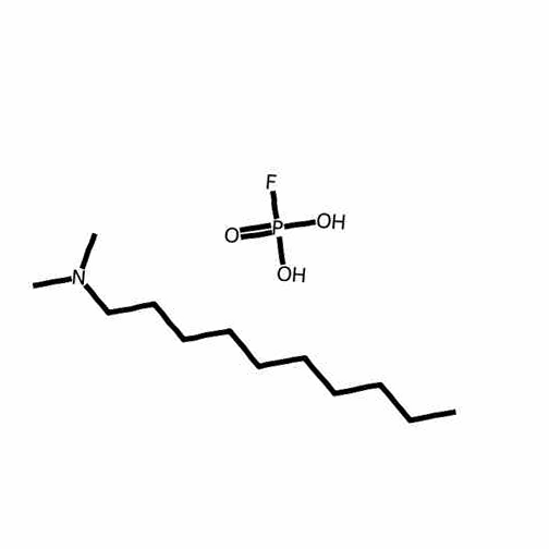 CCCCCCCCCCN(C)C.O=P(O)(O)F